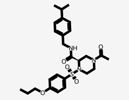 CCCOc1ccc(S(=O)(=O)N2CCN(C(C)=O)C[C@@H]2C(=O)NCc2ccc(C(C)C)cc2)cc1